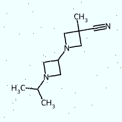 CC(C)N1CC(N2CC(C)(C#N)C2)C1